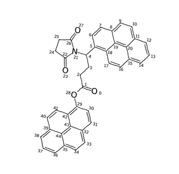 O=C(CCC(c1ccc2ccc3cccc4ccc1c2c34)N1C(=O)CCC1=O)Oc1ccc2ccc3cccc4ccc1c2c34